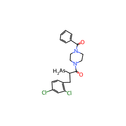 O=C(c1ccccc1)N1CCN(C(=O)C([AsH2])Cc2ccc(Cl)cc2Cl)CC1